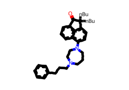 CCCCC1(CCCC)C(=O)c2cccc3c(N4CCCN(CCCc5ccccc5)CC4)ccc1c23